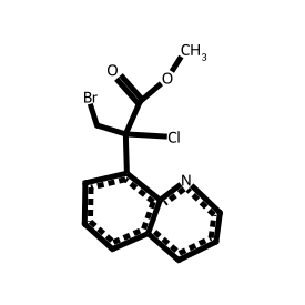 COC(=O)C(Cl)(CBr)c1cccc2cccnc12